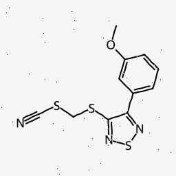 COc1cccc(-c2nsnc2SCSC#N)c1